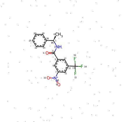 C[C@@H](NC(=O)c1cc([N+](=O)[O-])cc(C(F)(F)F)c1)c1ccccc1